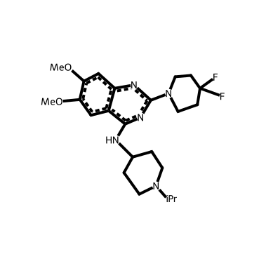 COc1cc2nc(N3CCC(F)(F)CC3)nc(NC3CCN(C(C)C)CC3)c2cc1OC